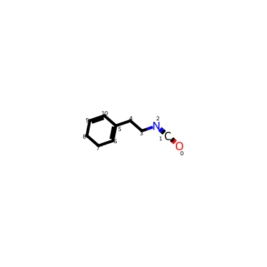 O=C=NCCC1=C[CH]CC=C1